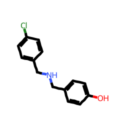 Oc1ccc(CNCc2ccc(Cl)cc2)cc1